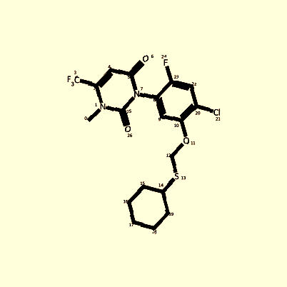 Cn1c(C(F)(F)F)cc(=O)n(-c2cc(OCSC3CCCCC3)c(Cl)cc2F)c1=O